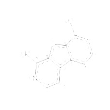 Clc1cccc2c1sc1c(Cl)nccc12